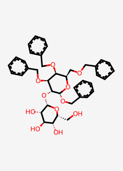 OC[C@H]1O[C@@H](O[C@H]2[C@@H](OCc3ccccc3)O[C@H](COCc3ccccc3)[C@H](OCc3ccccc3)[C@@H]2OCc2ccccc2)[C@@H](O)[C@H](O)[C@H]1O